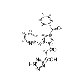 O=C(c1ccccc1)c1cc(C(=O)C=C(O)c2nn[nH]n2)n(Cc2ccccn2)c1